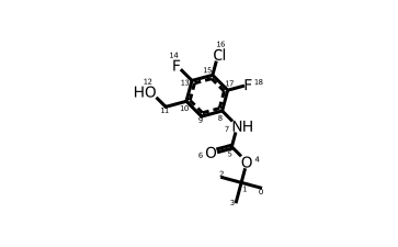 CC(C)(C)OC(=O)Nc1cc(CO)c(F)c(Cl)c1F